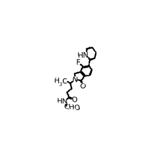 CC(CCC(=O)NC=O)N1Cc2c(ccc(C3CCCCN3)c2F)C1=O